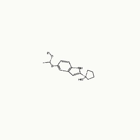 CCOC(C)Oc1ccc2[nH]c(C3(O)CCCC3)cc2c1